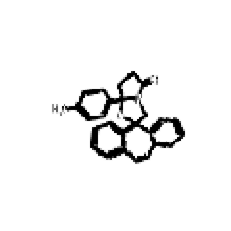 Cc1ccc(C23CCC(=O)N2CC2(O3)c3ccccc3C=Cc3ccccc32)cc1